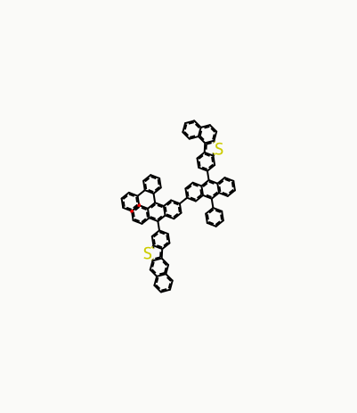 c1ccc(-c2ccccc2-c2c3ccccc3c(-c3ccc4c(c3)sc3cc5ccccc5cc34)c3ccc(-c4ccc5c(-c6ccc7c(c6)sc6ccc8ccccc8c67)c6ccccc6c(-c6ccccc6)c5c4)cc23)cc1